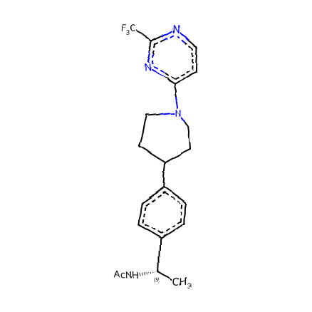 CC(=O)N[C@@H](C)c1ccc(C2CCN(c3ccnc(C(F)(F)F)n3)CC2)cc1